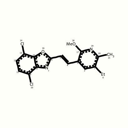 CCc1cc(C=Cc2nc3c(Cl)ccc(Cl)c3o2)c(OC)nc1C